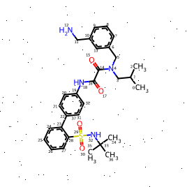 CC(C)CN(Cc1cccc(CN)c1)C(=O)C(=O)Nc1ccc(-c2ccccc2S(=O)(=O)NC(C)(C)C)cc1